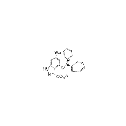 CC(C)(C)c1cc(O[SiH](c2ccccc2)c2ccccc2)c2c(C(=O)O)n[nH]c2c1